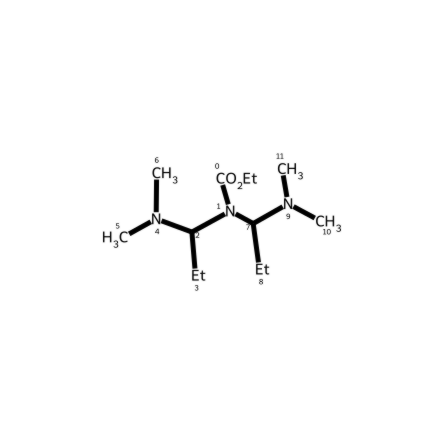 CCOC(=O)N(C(CC)N(C)C)C(CC)N(C)C